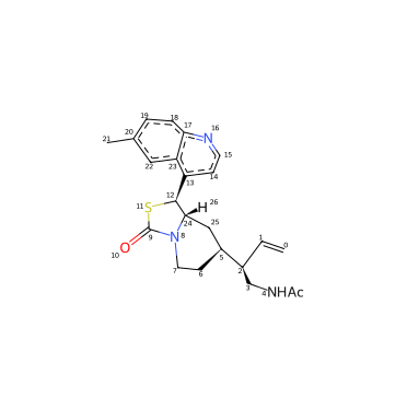 C=C[C@@H](CNC(C)=O)[C@H]1CCN2C(=O)S[C@@H](c3ccnc4ccc(C)cc34)[C@@H]2C1